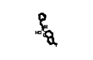 Cl.Fc1ccc2c(c1)CC[C@@H](CNCc1ccccc1)O2